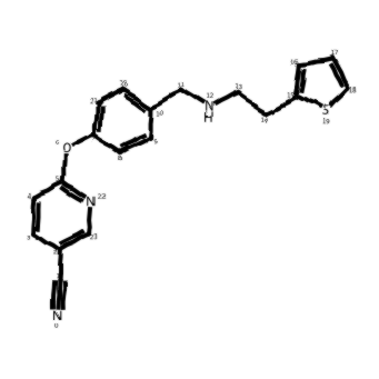 N#Cc1ccc(Oc2ccc(CNCCc3cccs3)cc2)nc1